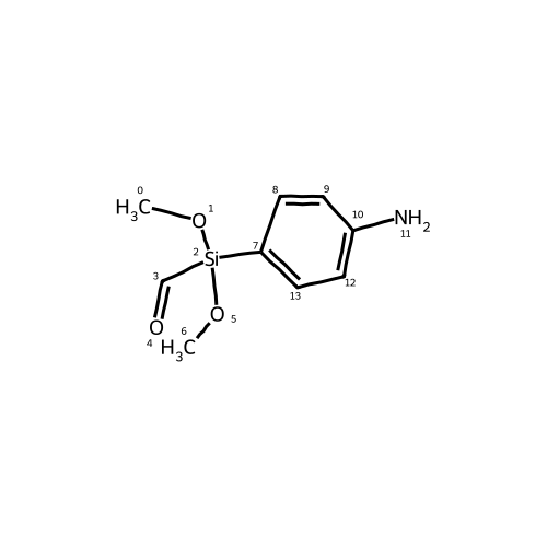 CO[Si](C=O)(OC)c1ccc(N)cc1